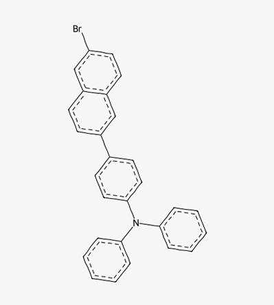 Brc1ccc2cc(-c3ccc(N(c4ccccc4)c4ccccc4)cc3)ccc2c1